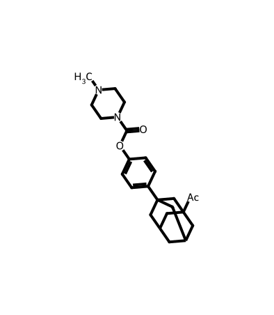 CC(=O)C12CC3CC(C1)CC(c1ccc(OC(=O)N4CCN(C)CC4)cc1)(C3)C2